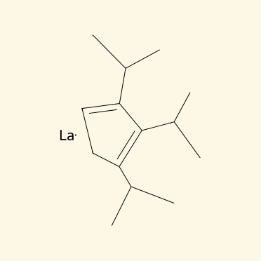 CC(C)C1=CCC(C(C)C)=C1C(C)C.[La]